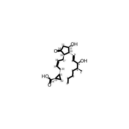 CCCC[C@H](C)[C@H](O)/C=C/[C@H]1[C@H](O)CC(=O)[C@@H]1C/C=C\C[C@@H]1C[C@H]1C(=O)O